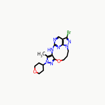 Cc1c2c(nn1C1CCOCC1)OCCCn1nc(Br)c3cnc(nc31)N2